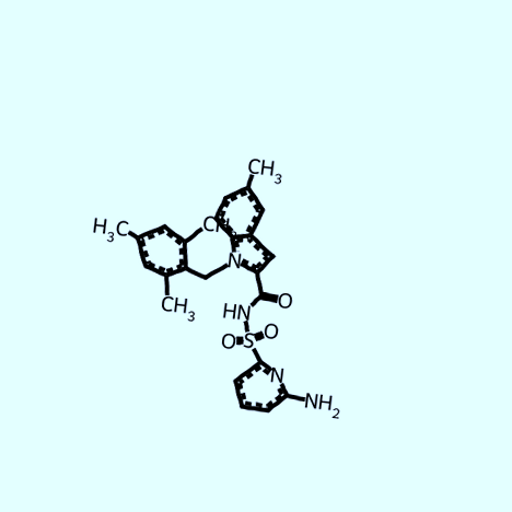 Cc1cc(C)c(Cn2c(C(=O)NS(=O)(=O)c3cccc(N)n3)cc3cc(C)ccc32)c(C)c1